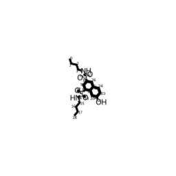 CCCCNS(=O)(=O)c1cc(S(=O)(=O)NCCCC)c2cc(O)ccc2c1